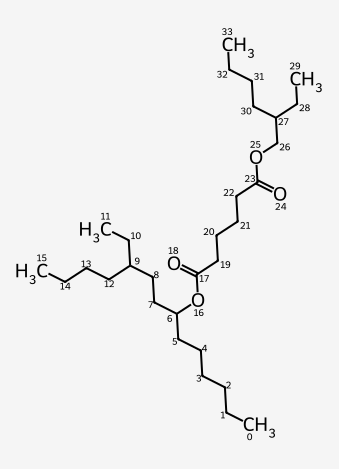 CCCCCCC(CCC(CC)CCCC)OC(=O)CCCCC(=O)OCC(CC)CCCC